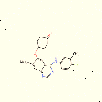 COc1cc2ncnc(Nc3ccc(F)c(C)c3)c2cc1OC1CCC(=O)CC1